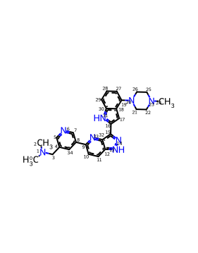 CN(C)Cc1cncc(-c2ccc3[nH]nc(-c4cc5c(N6CCN(C)CC6)cccc5[nH]4)c3n2)c1